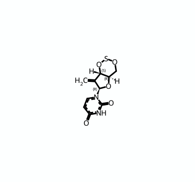 C=C1[C@H](n2ccc(=O)[nH]c2=O)O[C@@H]2COSO[C@@H]12